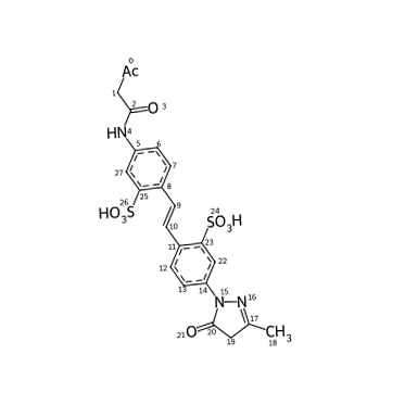 CC(=O)CC(=O)Nc1ccc(C=Cc2ccc(N3N=C(C)CC3=O)cc2S(=O)(=O)O)c(S(=O)(=O)O)c1